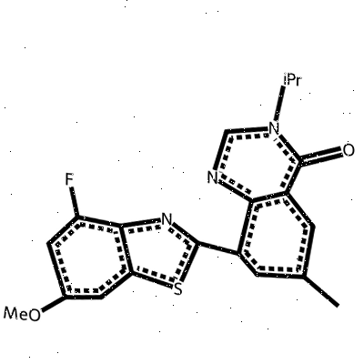 COc1cc(F)c2nc(-c3cc(C)cc4c(=O)n(C(C)C)cnc34)sc2c1